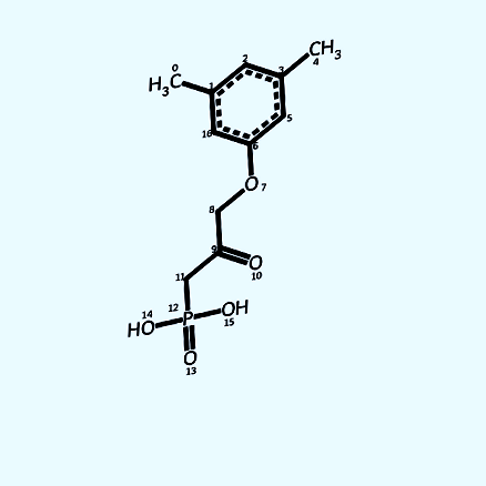 Cc1cc(C)cc(OCC(=O)CP(=O)(O)O)c1